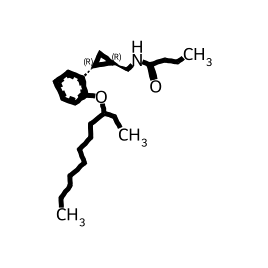 CCCCCCCCC(CC)Oc1ccccc1[C@@H]1C[C@H]1CNC(=O)CCC